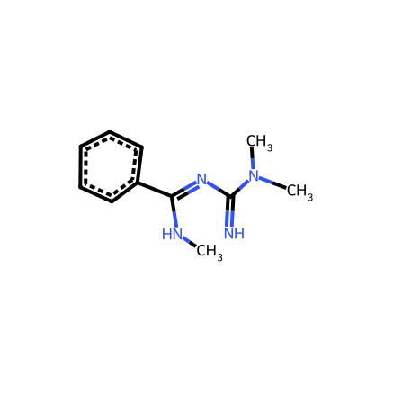 CN/C(=N\C(=N)N(C)C)c1ccccc1